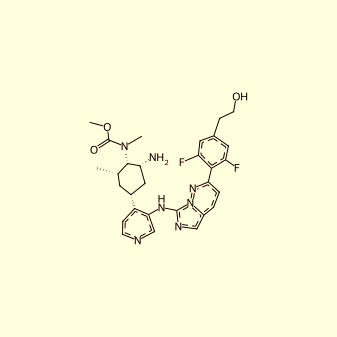 COC(=O)N(C)[C@@H]1[C@H](N)C[C@H](c2ccncc2Nc2ncc3ccc(-c4c(F)cc(CCO)cc4F)nn23)C[C@@H]1C